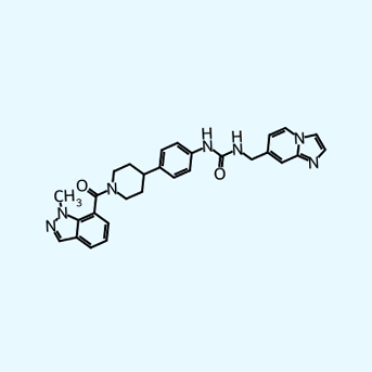 Cn1ncc2cccc(C(=O)N3CCC(c4ccc(NC(=O)NCc5ccn6ccnc6c5)cc4)CC3)c21